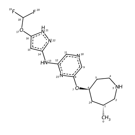 C[C@H]1CNCC[C@H](Oc2cncc(Nc3cc(OC(F)F)[nH]n3)n2)C1